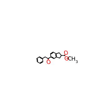 COC(=O)C1Cc2ccc(C(=O)Cc3ccccc3)cc2C1